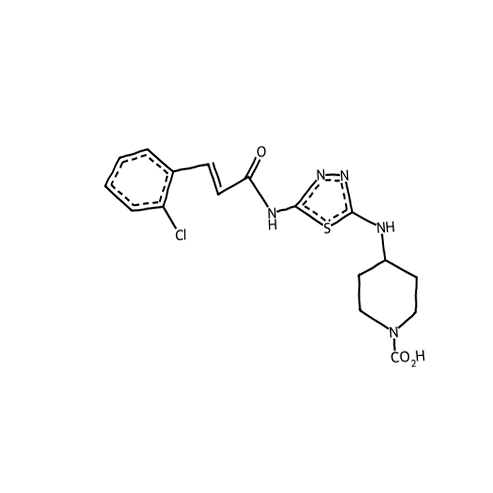 O=C(C=Cc1ccccc1Cl)Nc1nnc(NC2CCN(C(=O)O)CC2)s1